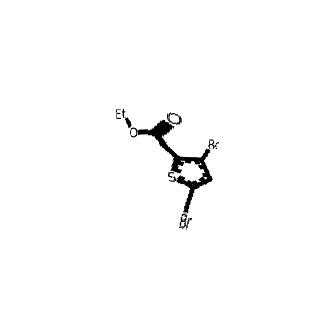 CCOC(=O)c1sc(Br)cc1Br